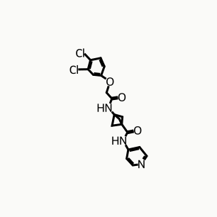 O=C(COc1ccc(Cl)c(Cl)c1)NC12CC(C(=O)Nc3ccncc3)(C1)C2